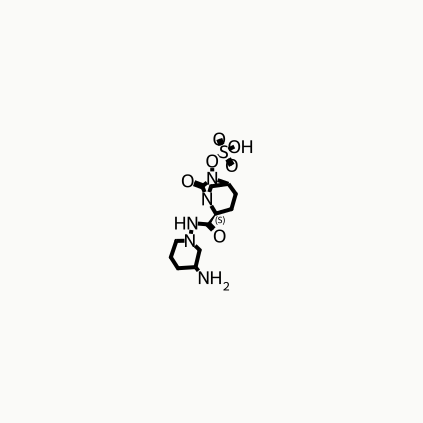 NC1CCCN(NC(=O)[C@@H]2CCC3CN2C(=O)N3OS(=O)(=O)O)C1